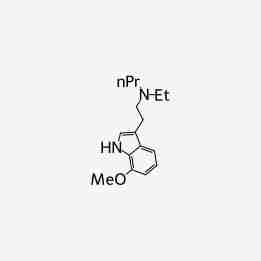 CCCN(CC)CCc1c[nH]c2c(OC)cccc12